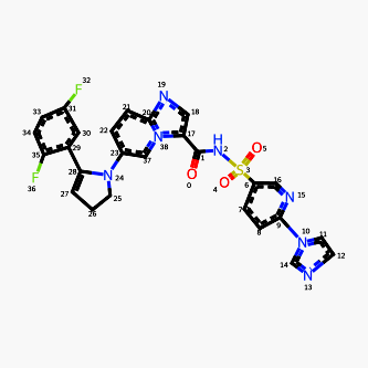 O=C(NS(=O)(=O)c1ccc(-n2ccnc2)nc1)c1cnc2ccc(N3CCC=C3c3cc(F)ccc3F)cn12